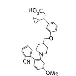 COc1ccc(-c2ccccc2C#N)c(N2CCC(COc3cccc([C@@H](CC(=O)O)C4CC4)c3)CC2)c1